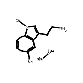 CCCCO.NCCc1cn(Cl)c2ccc(O)cc12